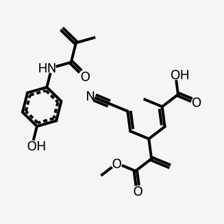 C=C(C(=O)OC)C(C=CC#N)C=C(C)C(=O)O.C=C(C)C(=O)Nc1ccc(O)cc1